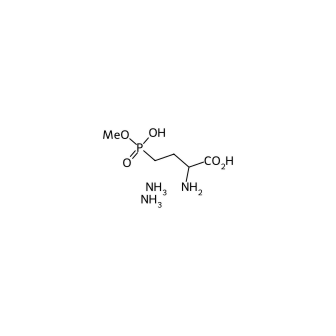 COP(=O)(O)CCC(N)C(=O)O.N.N